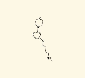 NCCCCSc1cccc(N2CCOCC2)c1